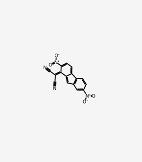 N#CC(C#N)=c1c([N+](=O)[O-])ccc2c1=Cc1cc([N+](=O)[O-])ccc1-2